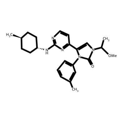 COC(C)n1cc(-c2ccnc(N[C@H]3CC[C@H](C)CC3)n2)n(-c2cccc(C)c2)c1=O